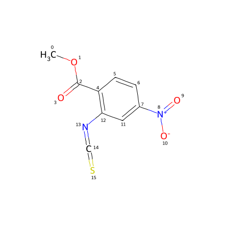 COC(=O)c1ccc([N+](=O)[O-])cc1N=C=S